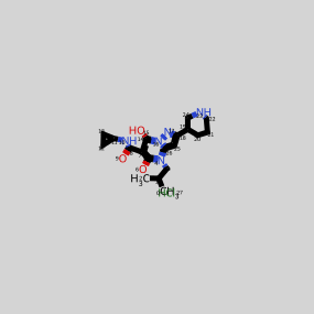 CC(C)Cn1c(=O)c(C(=O)NC2CC2)c(O)n2nc(C3CCCNC3)cc12.Cl